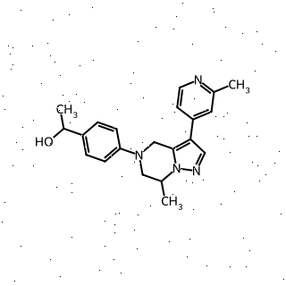 Cc1cc(-c2cnn3c2CN(c2ccc(C(C)O)cc2)CC3C)ccn1